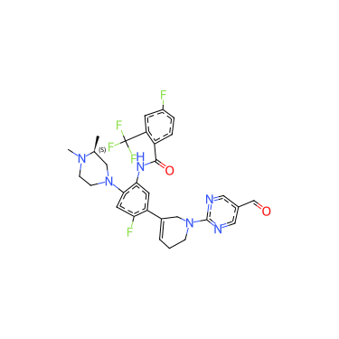 C[C@H]1CN(c2cc(F)c(C3=CCCN(c4ncc(C=O)cn4)C3)cc2NC(=O)c2ccc(F)cc2C(F)(F)F)CCN1C